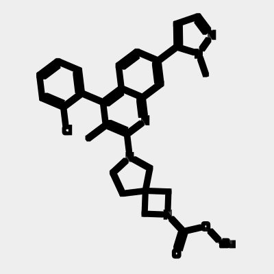 Cc1c(N2CCC3(CN(C(=O)OC(C)(C)C)C3)C2)nc2cc(-c3ccnn3C)ccc2c1-c1ccccc1Cl